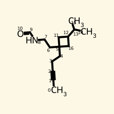 CC#CCCC1(CCNC=O)CC(C(C)C)C1